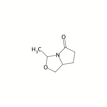 CC1OCC2CCC(=O)N21